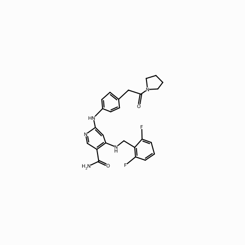 NC(=O)c1cnc(Nc2ccc(CC(=O)N3CCCC3)cc2)cc1NCc1c(F)cccc1F